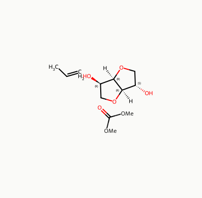 C=CC.COC(=O)OC.O[C@@H]1CO[C@H]2[C@@H]1OC[C@@H]2O